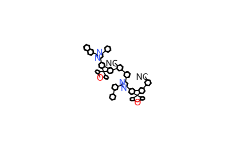 N#Cc1cccc(-c2ccc3c(c2)-c2cc(-c4cc(-c5cccc(-c6ccc(C#N)c(-c7ccc8c(c7)-c7cc(-c9cc(-c%10ccccc%10)nc(-c%10ccc%11ccccc%11c%10)n9)ccc7C87c8ccccc8Oc8ccccc87)c6)c5)nc(-c5cccc(-c6ccccc6)c5)n4)ccc2C32c3ccccc3Oc3ccccc32)c1